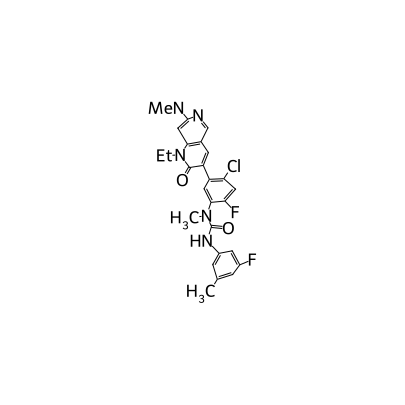 CCn1c(=O)c(-c2cc(N(C)C(=O)Nc3cc(C)cc(F)c3)c(F)cc2Cl)cc2cnc(NC)cc21